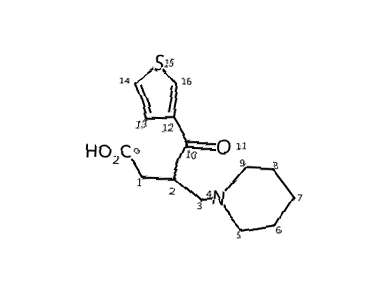 O=C(O)CC(CN1CCCCC1)C(=O)c1ccsc1